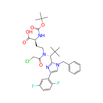 CC(C)(C)OC(=O)N[C@@H](CCN(C(=O)CCl)[C@@H](c1nc(-c2cc(F)ccc2F)cn1Cc1ccccc1)C(C)(C)C)C(=O)O